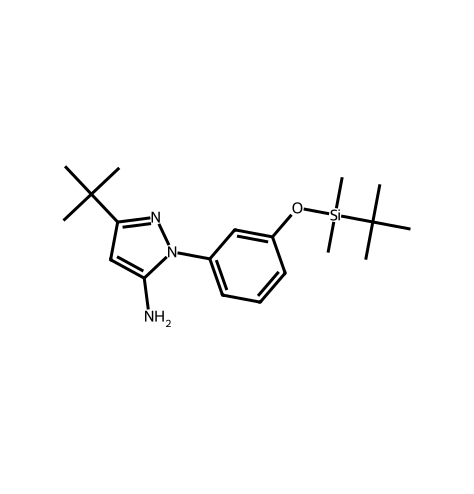 CC(C)(C)c1cc(N)n(-c2cccc(O[Si](C)(C)C(C)(C)C)c2)n1